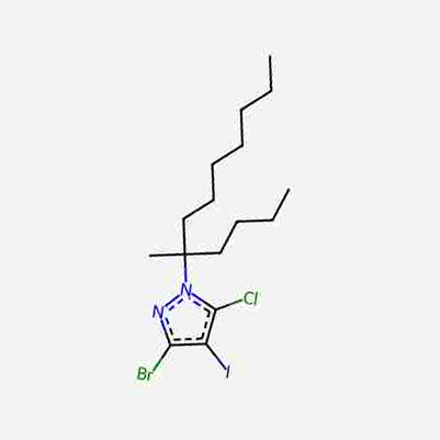 CCCCCCCC(C)(CCCC)n1nc(Br)c(I)c1Cl